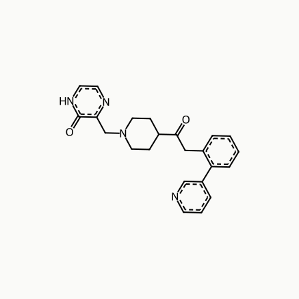 O=C(Cc1ccccc1-c1cccnc1)C1CCN(Cc2ncc[nH]c2=O)CC1